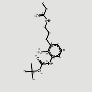 CCC(=O)NCCCc1cccc(NC(=O)OC(C)(C)C)c1O